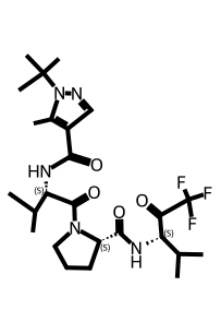 Cc1c(C(=O)N[C@H](C(=O)N2CCC[C@H]2C(=O)N[C@H](C(=O)C(F)(F)F)C(C)C)C(C)C)cnn1C(C)(C)C